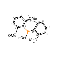 CCCCCCCCP(c1c(OC)cccc1OC)c1c(OC)cccc1OC